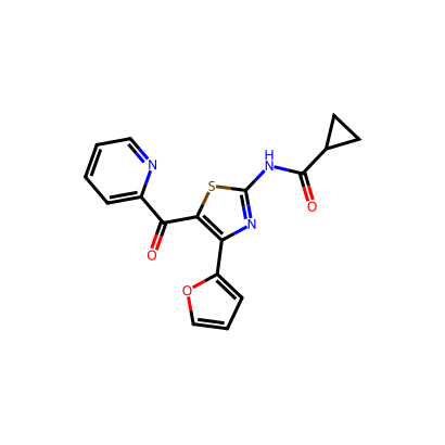 O=C(c1ccccn1)c1sc(NC(=O)C2CC2)nc1-c1ccco1